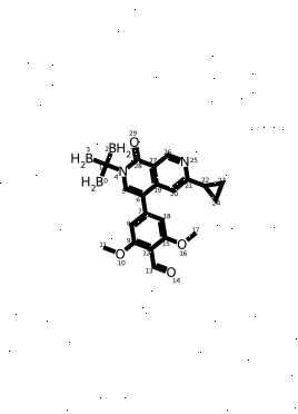 BC(B)(B)n1cc(-c2cc(OC)c(C=O)c(OC)c2)c2cc(C3CC3)ncc2c1=O